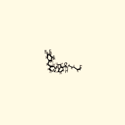 O=C(NCCCCF)c1cccc2c1CCN2c1cc(Cc2cc(F)c(F)c(F)c2)ccn1